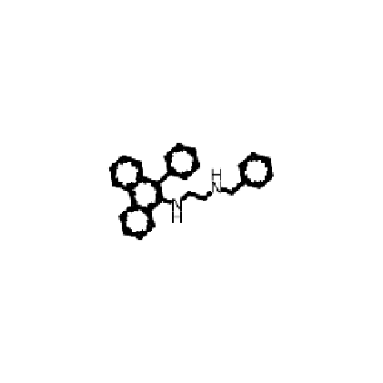 c1ccc(CNCCNc2c(-c3ccccc3)c3ccccc3c3ccccc23)cc1